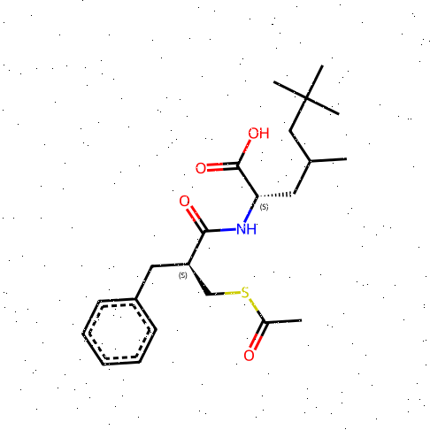 CC(=O)SC[C@@H](Cc1ccccc1)C(=O)N[C@@H](CC(C)CC(C)(C)C)C(=O)O